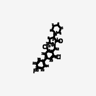 O=C1C(N2CCCCC2)CCN1Cc1c(Cl)cc(-c2ccc(F)cc2)cc1Cl